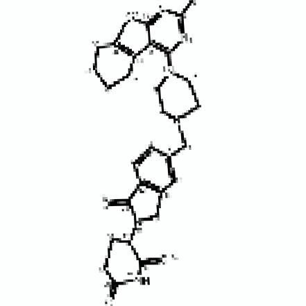 Cc1nc(N2CCN(Cc3ccc4c(c3)CN(C3CCC(=O)NC3=O)C4=O)CC2)c2c3c(sc2n1)CCCC3